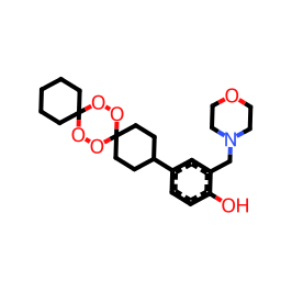 Oc1ccc(C2CCC3(CC2)OOC2(CCCCC2)OO3)cc1CN1CCOCC1